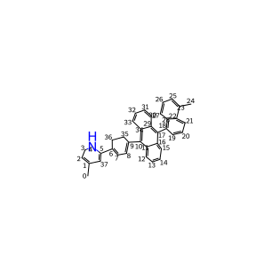 CC1=CCNC(C2=CC=C(c3c4ccccc4c(-c4cccc5c(C)cccc45)c4ccccc34)CC2)=C1